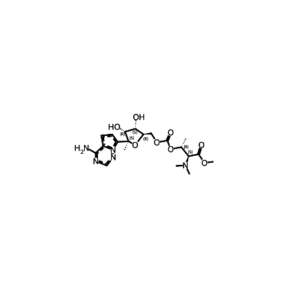 COC(=O)[C@H]([C@@H](C)OC(=O)OC[C@H]1O[C@@](C)(c2ccc3c(N)ncnn23)[C@H](O)[C@@H]1O)N(C)C